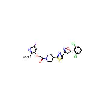 COc1ncc(I)cc1OCC(=O)N1CCC(c2nc(C3=NOC(c4c(Cl)cccc4Cl)C3)cs2)CC1